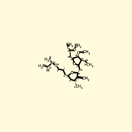 C=C1[C@H](C)C[C@H](CCCOP(P)PP)O[C@@H]1CC1O[C@H](C[C@@H](CC)OP)[C@H](OC)[C@H]1CC